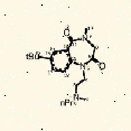 CCCN(C)CCN1C(=O)CN(C)C(=O)c2cc(C(C)(C)C)ccc21